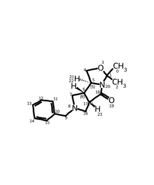 CC1(C)OC[C@@H]2[C@H]3CN(Cc4ccccc4)C[C@H]3C(=O)N21